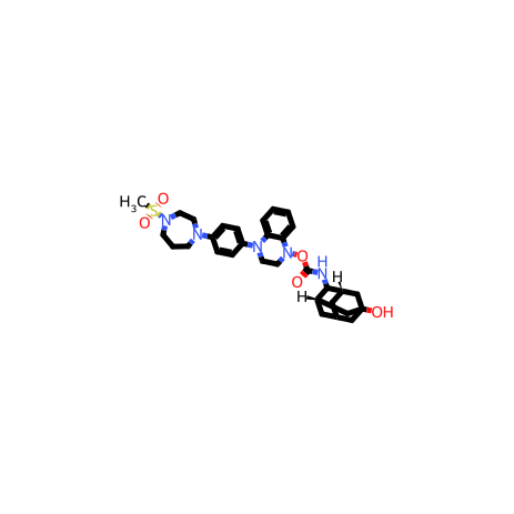 CS(=O)(=O)N1CCCN(c2ccc(N3CCN(OC(=O)NC4[C@@H]5CC6C[C@H]4CC(O)(C6)C5)c4ccccc43)cc2)CC1